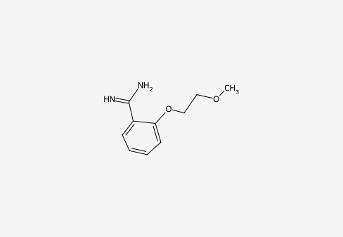 COCCOc1ccccc1C(=N)N